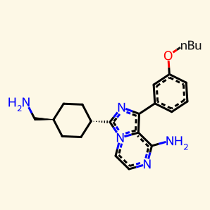 CCCCOc1cccc(-c2nc([C@H]3CC[C@H](CN)CC3)n3ccnc(N)c23)c1